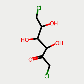 O=C(CCl)C(O)C(O)C(O)CCl